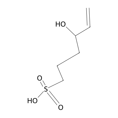 C=CC(O)CCCS(=O)(=O)O